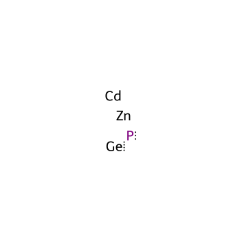 [Cd].[Ge].[P].[Zn]